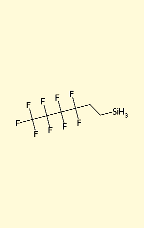 FC(F)(F)C(F)(F)C(F)(F)C(F)(F)CC[SiH3]